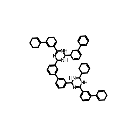 C1=CC(C2NC(C3=CCCC(C4=CCCCC4)=C3)=NC(c3cccc(-c4cccc(C5N=C(c6cccc(C7=CCCC=C7)c6)NC(C6CC=CCC6)N5)c4)c3)N2)CC(c2ccccc2)=C1